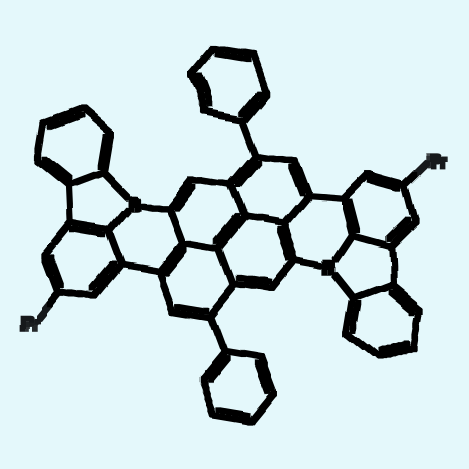 CC(C)c1cc2c3c(c1)-c1cc(-c4ccccc4)c4cc5c6c(cc(-c7ccccc7)c7cc(c1c4c76)B3c1ccccc1-2)-c1cc(C(C)C)cc2c1B5c1ccccc1-2